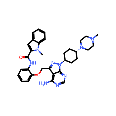 CN1CCN([C@H]2CC[C@H](n3nc(COc4ccccc4NC(=O)c4cc5ccccc5n4C)c4c(N)ncnc43)CC2)CC1